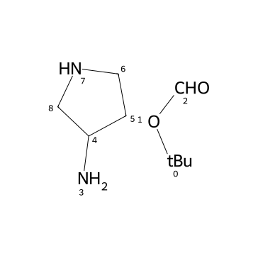 CC(C)(C)OC=O.NC1CCNC1